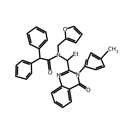 CCC(c1nc2ccccc2c(=O)n1-c1ccc(C)cc1)N(Cc1ccco1)C(=O)C(c1ccccc1)c1ccccc1